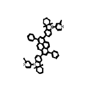 Cc1cc(N2c3ccc(-c4cc(-c5ccccc5)c5ccc6c(-c7ccc8c(c7)C7(C)CCCCC7(C)N8c7ccnc(C)c7)cc(-c7ccccc7)c7ccc4c5c76)cc3C3(C)CCCCC23C)ccn1